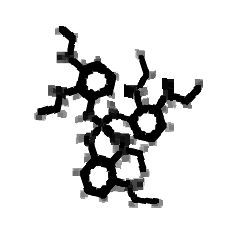 CCNc1cccc(OP(=O)(Oc2cccc(NCC)c2NCC)Oc2cccc(NCC)c2NCC)c1NCC